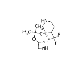 CC(C)(C)OC1CNC1.FC(F)(F)C1CCNCC1